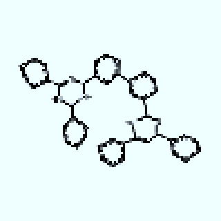 C1=C(c2ccccc2)NC(c2cccc(-c3cccc(C4N=C(c5ccccc5)NC(c5ccccc5)N4)c3)c2)N=C1c1ccccc1